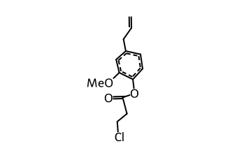 C=CCc1ccc(OC(=O)CCCl)c(OC)c1